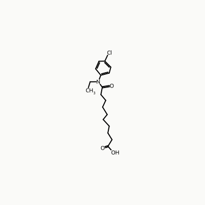 CCN(C(=O)CCCCCCCCC(=O)O)c1ccc(Cl)cc1